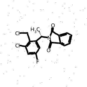 C[C@@H](c1cc(F)cc(Cl)c1CCl)N1C(=O)c2ccccc2C1=O